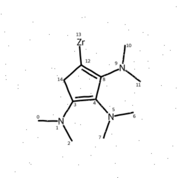 CN(C)C1=C(N(C)C)C(N(C)C)=[C]([Zr])C1